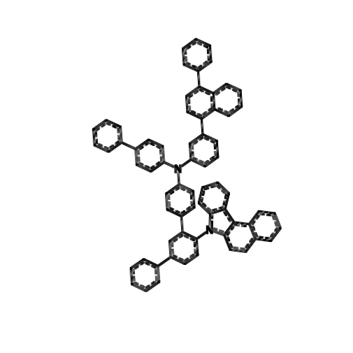 c1ccc(-c2ccc(N(c3ccc(-c4cc(-c5ccccc5)ccc4-n4c5ccccc5c5c6ccccc6ccc54)cc3)c3cccc(-c4ccc(-c5ccccc5)c5ccccc45)c3)cc2)cc1